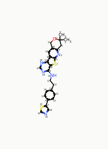 CC1(C)Cc2nc3sc4c(NCCc5ccc(-c6cncs6)cc5)ncnc4c3cc2CO1